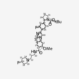 COc1cc2c(cc1C(=O)NCCCN1CCC(F)CC1)sc1nc(-c3ccc([C@H]4CCCN4C(=O)OC(C)(C)C)cc3F)cn12